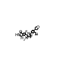 CN(C)Cc1cc(-c2nc(-c3cc4c(cc3F)C(=O)NCC4)c(N)nc2F)ccc1C1CCOCC1